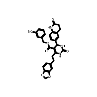 N#Cc1cccc(COC(=O)C2=C(CCc3ccc4c(c3)OCO4)NC(=O)NC2c2ccc3c(c2)CCC(=O)N3)c1